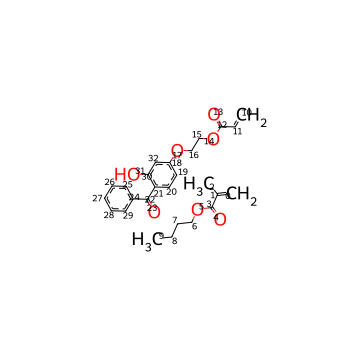 C=C(C)C(=O)OCCCC.C=CC(=O)OCCOc1ccc(C(=O)c2ccccc2)c(O)c1